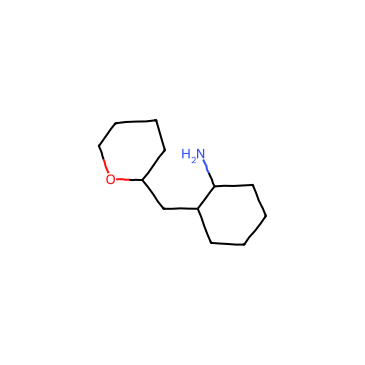 NC1CCCCC1CC1CCCCO1